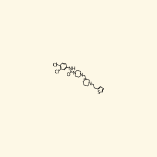 O=C(Nc1ccc(Cl)c(Cl)c1)N1CCN(C[C@@H]2CCCN(CCc3cccs3)C2)CC1